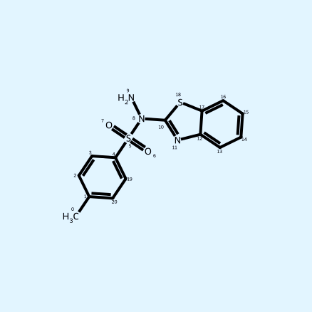 Cc1ccc(S(=O)(=O)N(N)c2nc3ccccc3s2)cc1